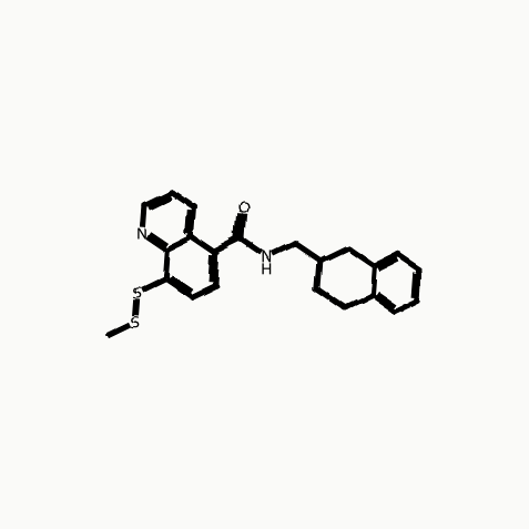 CSSc1ccc(C(=O)NCC2CCc3ccccc3C2)c2cccnc12